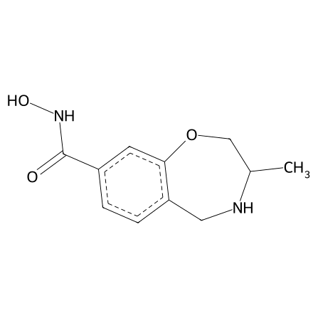 CC1COc2cc(C(=O)NO)ccc2CN1